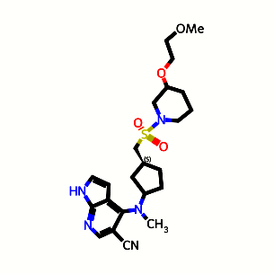 COCCOC1CCCN(S(=O)(=O)C[C@H]2CCC(N(C)c3c(C#N)cnc4[nH]ccc34)C2)C1